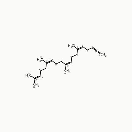 C=C=CCC=C(C)CCC=C(C)CCC=C(C)CCC=C(C)C